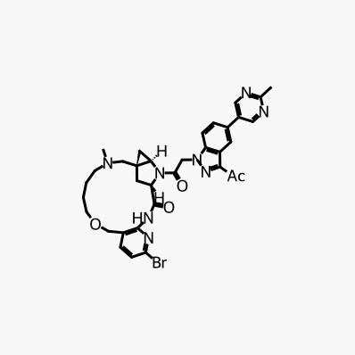 CC(=O)c1nn(CC(=O)N2[C@H]3C[C@]4(C[C@@H]24)CN(C)CCCCOCc2ccc(Br)nc2NC3=O)c2ccc(-c3cnc(C)nc3)cc12